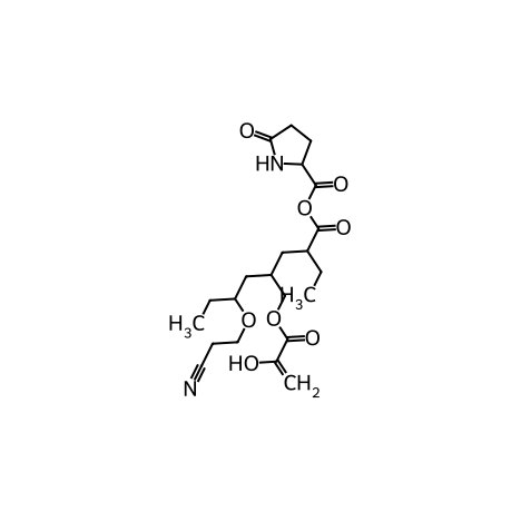 C=C(O)C(=O)OCC(CC(CC)OCCC#N)CC(CC)C(=O)OC(=O)C1CCC(=O)N1